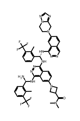 Cc1c([C@H](Nc2nncc3ccc(N4CCn5ncnc5C4)cc23)Nc2nnc(N[C@H](N)c3cccc(C(F)(F)F)c3C)c3cc(N4CC(C(=O)N(C)C)C4)ccc23)cccc1C(F)(F)F